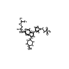 C[C@@H](COC(F)F)Nc1ncc2c(-c3cnn(CCS(C)(=O)=O)c3)cc(C3CCC(O)CC3)n2n1